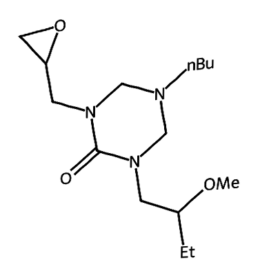 CCCCN1CN(CC(CC)OC)C(=O)N(CC2CO2)C1